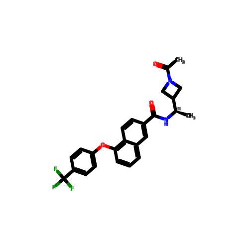 CC(=O)N1CC([C@@H](C)NC(=O)c2ccc3c(Oc4ccc(C(F)(F)F)cc4)cccc3c2)C1